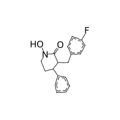 O=C1C(Cc2ccc(F)cc2)C(c2ccccc2)CCN1O